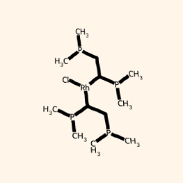 CP(C)C[CH](P(C)C)[Rh]([Cl])[CH](CP(C)C)P(C)C